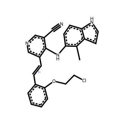 Cc1c(Nc2c(C#N)cncc2/C=C/c2ccccc2OCCCl)ccc2[nH]ccc12